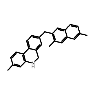 Cc1ccc2c(c1)NCc1cc(Cc3cc4ccc(C)cc4cc3C)ccc1-2